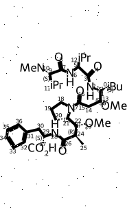 CC[C@H](C)[C@H](NC(=O)C(NC(=O)[C@@H](NC)C(C)C)C(C)C)[C@@H](CC(=O)N1CCC[C@H]1[C@H](OC)[C@@H](C)C(=O)N[C@@H](Cc1ccccc1)C(=O)O)OC